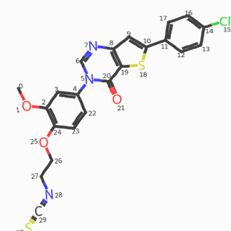 COc1cc(-n2cnc3cc(-c4ccc(Cl)cc4)sc3c2=O)ccc1OCCN=C=S